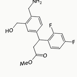 COC(=O)CC(c1ccc(CN)c(CO)c1)c1ccc(F)cc1F